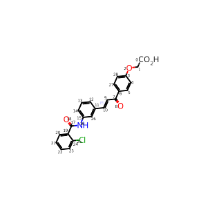 O=C(O)COc1ccc(C(=O)/C=C/c2cccc(NC(=O)c3ccccc3Cl)c2)cc1